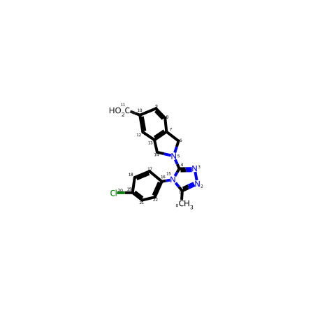 Cc1nnc(N2Cc3ccc(C(=O)O)cc3C2)n1-c1ccc(Cl)cc1